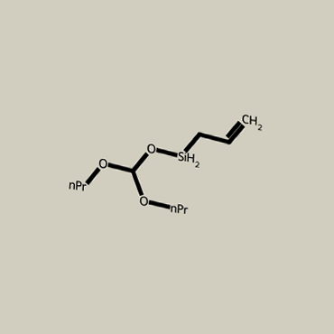 C=CC[SiH2]OC(OCCC)OCCC